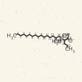 CCCCCCCCCCCCCCC(O)C[N+](C)(C)C(CCC)C([O-])=S